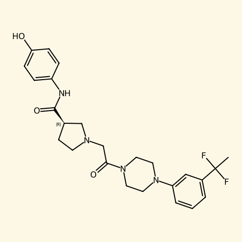 CC(F)(F)c1cccc(N2CCN(C(=O)CN3CC[C@@H](C(=O)Nc4ccc(O)cc4)C3)CC2)c1